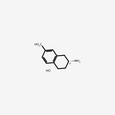 Cl.N[C@@H]1CCc2ccc(C(=O)O)cc2C1